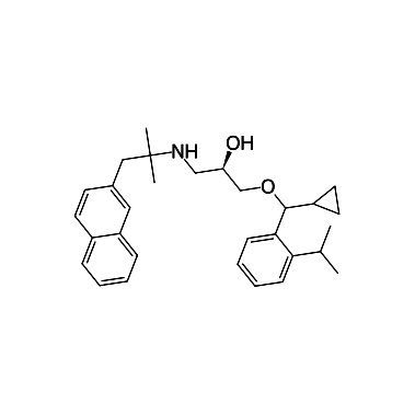 CC(C)c1ccccc1C(OC[C@H](O)CNC(C)(C)Cc1ccc2ccccc2c1)C1CC1